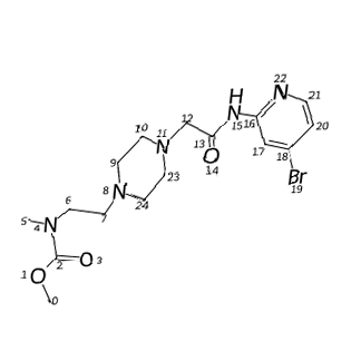 COC(=O)N(C)CCN1CCN(CC(=O)Nc2cc(Br)ccn2)CC1